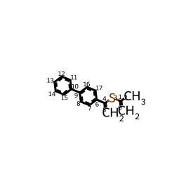 C=C(C)SC(=C)c1ccc(-c2ccccc2)cc1